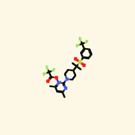 Cc1cc(C)[n+](OC(=O)C(F)(F)F)c(N2CCC(C(C)(C)S(=O)(=O)c3cccc(C(F)(F)F)c3)CC2)n1